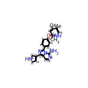 COC1=CC(C)(Oc2ccc(-c3nc(C4=CCNC4)c4ccnc(N)n34)cc2)NC=C1